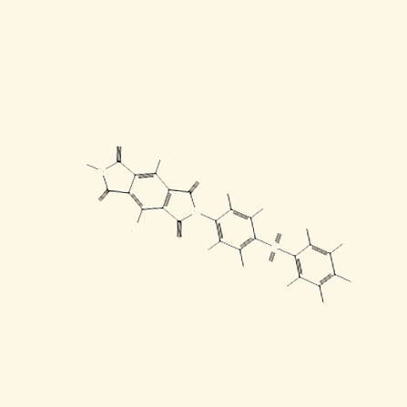 Cc1c(F)c(F)c(S(=O)(=O)c2c(F)c(F)c(-n3c(=O)c4c(C)c5c(=O)n(C)c(=O)c5c(C)c4c3=O)c(F)c2F)c(F)c1F